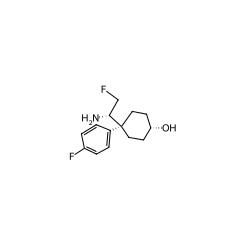 N[C@H](CF)[C@]1(c2ccc(F)cc2)CC[C@@H](O)CC1